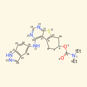 CCN(CC)C(=O)OC1CCc2c(sc3ncnc(Nc4ccc5[nH]ncc5c4)c23)C1